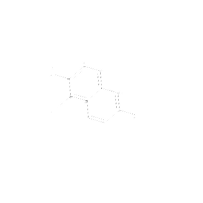 Cc1ccc2c(F)c(Br)ccc2c1